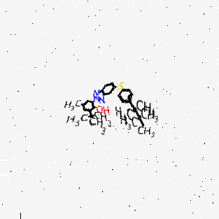 CCC(C)(C)C(C)(C)c1ccc(Sc2ccc3nn(-c4cc(C)cc(C(C)(C)C)c4O)nc3c2)cc1